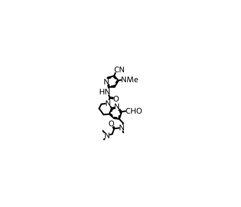 CNc1cc(NC(=O)N2CCCc3cc(CN(C)C(=O)CN(C)C)c(C=O)nc32)ncc1C#N